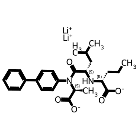 CCC[C@@H](N[C@@H](CC(C)C)C(=O)N(c1ccc(-c2ccccc2)cc1)[C@@H](C)C(=O)[O-])C(=O)[O-].[Li+].[Li+]